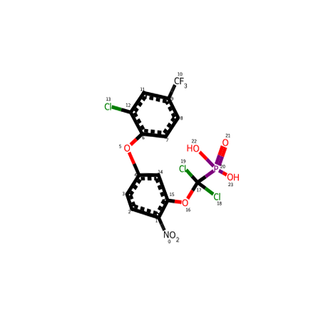 O=[N+]([O-])c1ccc(Oc2ccc(C(F)(F)F)cc2Cl)cc1OC(Cl)(Cl)P(=O)(O)O